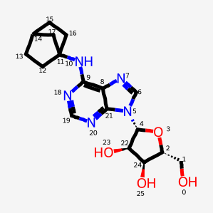 OC[C@H]1O[C@@H](n2cnc3c(NC45CCC(CC4)C5)ncnc32)[C@H](O)[C@@H]1O